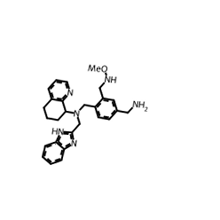 CONCc1cc(CN)ccc1CN(Cc1nc2ccccc2[nH]1)C1CCCc2cccnc21